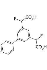 O=C(O)C(F)c1cc(-c2cc[c]cc2)cc(C(F)C(=O)O)c1